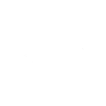 COC=Cc1ccc(OC(C)(C)C)cc1